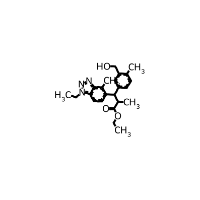 CCOC(=O)C(C)C(c1ccc(C)c(CO)c1)c1ccc2c(nnn2CC)c1C